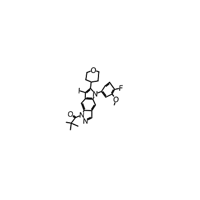 COc1cc(-n2c(C3CCOCC3)c(I)c3cc4c(cnn4C(=O)C(C)(C)C)cc32)ccc1F